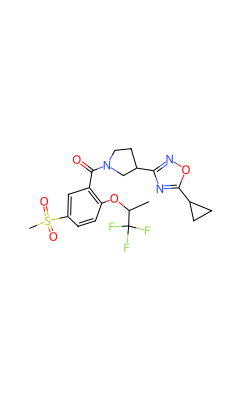 CC(Oc1ccc(S(C)(=O)=O)cc1C(=O)N1CCC(c2noc(C3CC3)n2)C1)C(F)(F)F